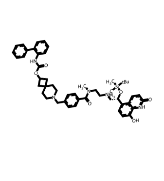 CN(CCNC[C@H](O[Si](C)(C)C(C)(C)C)c1ccc(O)c2[nH]c(=O)ccc12)C(=O)c1ccc(CN2CCC3(CC2)CC(OC(=O)Nc2ccccc2-c2ccccc2)C3)cc1